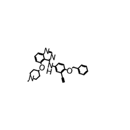 C#Cc1cc(Nc2ncnc3cccc(OC4CCN(C)CC4)c23)ccc1OCc1ccccc1